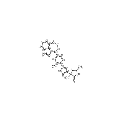 CCCC(C)(C(=O)O)n1cc(-c2ccc(N3CCOc4ncnc(N)c4C3=O)cc2Cl)cn1